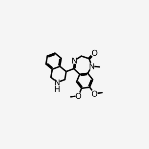 COc1cc2c(cc1OC)N(C)C(=O)CN=C2C1CNCc2ccccc21